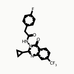 O=C(Cc1ccc(F)cc1)Nn1c(C2CC2)nc2cc(C(F)(F)F)ccc2c1=O